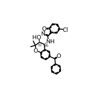 CC1(C)Oc2ccc(C(=O)c3ccccc3)cc2[C@@H](Nc2noc3ccc(Cl)cc23)[C@@H]1O